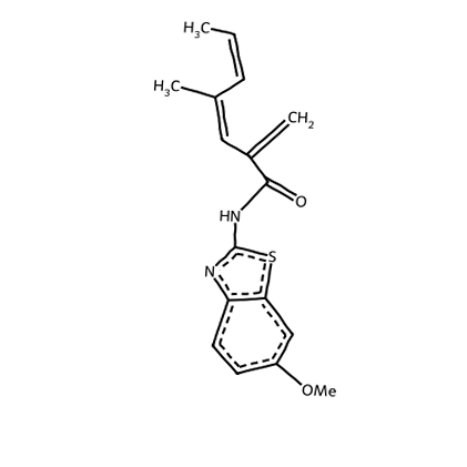 C=C(/C=C(C)\C=C/C)C(=O)Nc1nc2ccc(OC)cc2s1